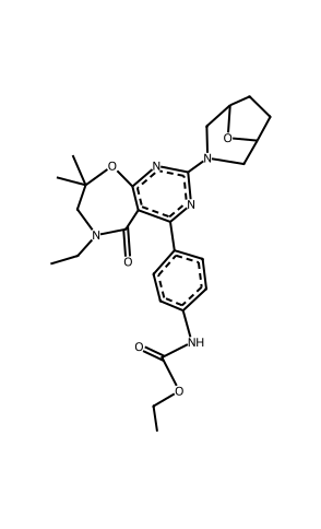 CCOC(=O)Nc1ccc(-c2nc(N3CC4CCC(C3)O4)nc3c2C(=O)N(CC)CC(C)(C)O3)cc1